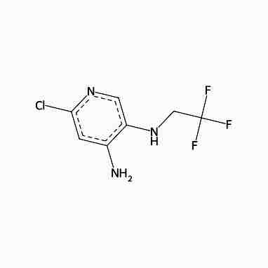 Nc1cc(Cl)ncc1NCC(F)(F)F